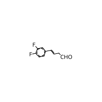 O=CCC=Cc1ccc(F)c(F)c1